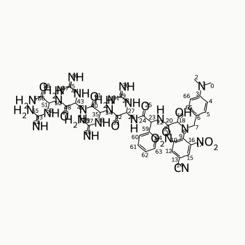 CN(C)c1ccc(CN(c2c([N+](=O)[O-])cc(C#N)cc2[N+](=O)[O-])C(O)C(=O)NC(C(=O)NC(NC(=N)N)C(=O)NC(NC(=N)N)C(=O)NC(NC(=N)N)C(=O)NC(NC(=N)N)C(N)=O)c2ccccc2)cc1